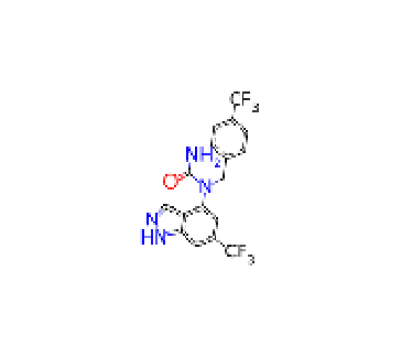 NC(=O)N(Cc1ccc(C(F)(F)F)cc1)c1cc(C(F)(F)F)cc2[nH]ncc12